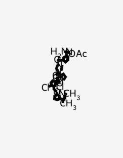 CC(=O)O/N=C(/N)c1cccc(C(=O)N2CCN(C(=O)C3CCCN3S(=O)(=O)c3ccc(Cl)c(COc4cccc5c(C)cc(C)nc45)c3Cl)CC2)c1